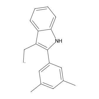 [CH2]Cc1c(-c2cc(C)cc(C)c2)[nH]c2ccccc12